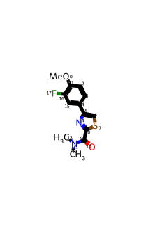 COc1ccc(-c2csc(C(=O)N(C)C)n2)cc1F